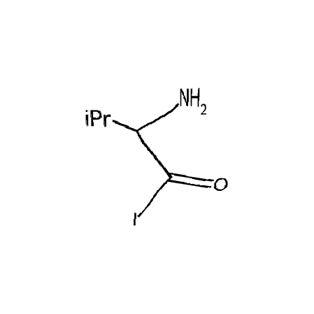 CC(C)C(N)C(=O)I